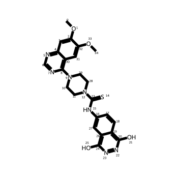 COc1cc2ncnc(N3CCN(C(=S)Nc4ccc5c(O)nnc(O)c5c4)CC3)c2cc1OC